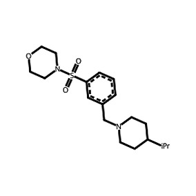 CC(C)C1CCN(Cc2cccc(S(=O)(=O)N3CCOCC3)c2)CC1